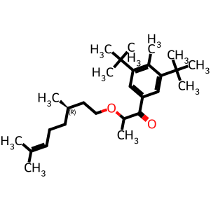 CC(C)=CCC[C@@H](C)CCOC(C)C(=O)c1cc(C(C)(C)C)c(C)c(C(C)(C)C)c1